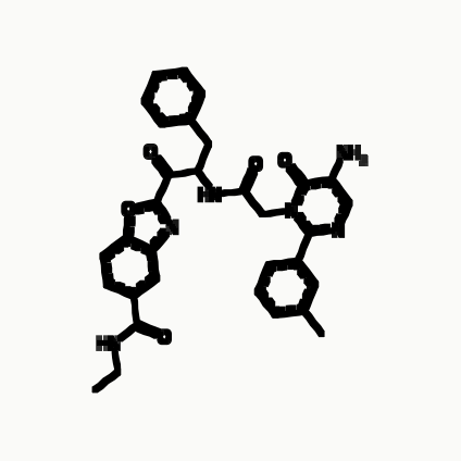 CCNC(=O)c1ccc2oc(C(=O)C(Cc3ccccc3)NC(=O)Cn3c(-c4cccc(C)c4)ncc(N)c3=O)nc2c1